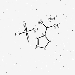 CC(O)N1C=NCC1.O=S(=O)(O)O.[NaH]